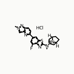 CN(c1nc2c(F)cc(-c3ccc4nn(C)cc4n3)cc2s1)[C@@H]1C[C@H]2CC[C@@H](C1)N2.Cl